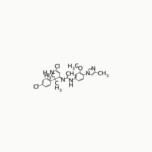 C=C(/N=C(\C=C(/N)Cl)C(C)(C)c1ccc(Cl)cc1)Nc1ccc(-n2cnc(C)c2)c(OC)c1